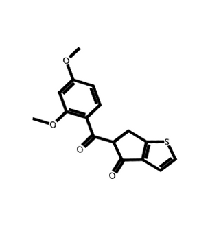 COc1ccc(C(=O)C2Cc3sccc3C2=O)c(OC)c1